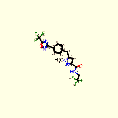 Cn1nc(C(=O)NCC(F)(F)F)cc1Cc1ccc(-c2noc(C(F)(F)F)n2)cc1